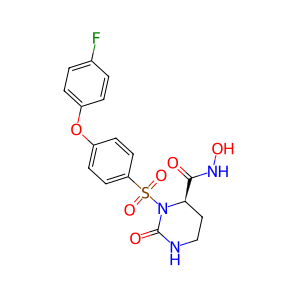 O=C(NO)[C@H]1CCNC(=O)N1S(=O)(=O)c1ccc(Oc2ccc(F)cc2)cc1